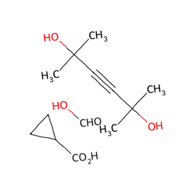 CC(C)(O)C#CC(C)(C)O.O=C(O)C1CC1.O=CO